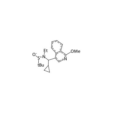 CCN(C(c1cnc(OC)c2ccccc12)C1CC1)[S+]([O-])C(C)(C)C